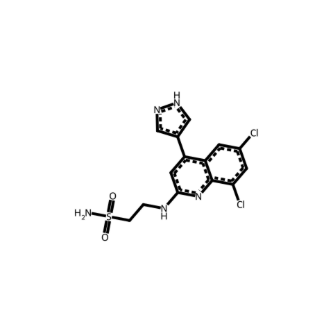 NS(=O)(=O)CCNc1cc(-c2cn[nH]c2)c2cc(Cl)cc(Cl)c2n1